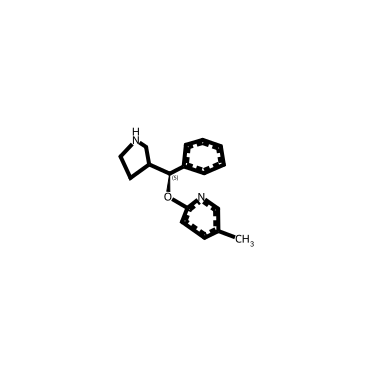 Cc1ccc(O[C@H](c2ccccc2)C2CCNC2)nc1